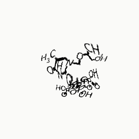 Cc1cn(COC(C)CO)c(=O)[nH]c1=O.O=P(O)(O)OP(=O)(O)OP(=O)(O)O